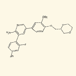 CCCc1ccc(-c2cc(-c3ccc(OCC4COCCO4)c(OC)c3)cnc2N)c(F)c1